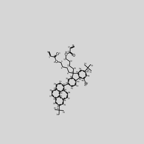 C=CC(=O)OCCCCC1(CCCCOC(=O)C=C)c2cc(-c3ccc4ccc5cc(C(C)(C)C)cc6ccc3c4c56)ccc2-c2c(Br)cc(C(C)(C)C)cc21